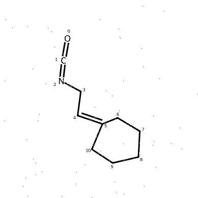 O=C=NCC=C1CCCCC1